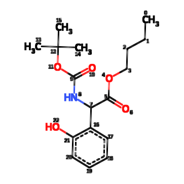 CCCCOC(=O)C(NC(=O)OC(C)(C)C)c1ccccc1O